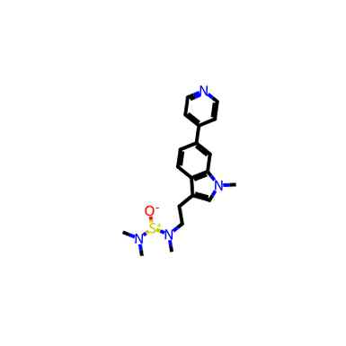 CN(C)[S+]([O-])N(C)CCc1cn(C)c2cc(-c3ccncc3)ccc12